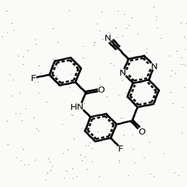 N#Cc1cnc2ccc(C(=O)c3cc(NC(=O)c4cccc(F)c4)ccc3F)cc2n1